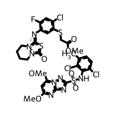 COC(=O)CSc1cc(/N=c2\sc(=O)n3n2CCCC3)c(F)cc1Cl.COc1cc(OC)n2nc(S(=O)(=O)Nc3c(Cl)ccc(C)c3Cl)nc2n1